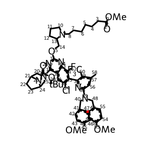 COC(=O)CCCCCCN1CCCC1COc1nc(N2CC3CCC(C2)N3C(=O)OC(C)(C)C)c2cc(Cl)c(-c3nc(N(Cc4ccc(OC)cc4)Cc4ccc(OC)cc4)cc(C)c3C(F)(F)F)c(F)c2n1